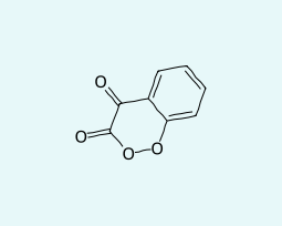 O=c1ooc2ccccc2c1=O